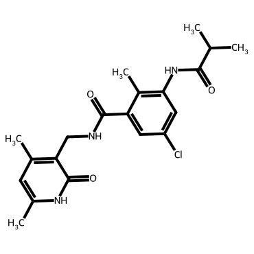 Cc1cc(C)c(CNC(=O)c2cc(Cl)cc(NC(=O)C(C)C)c2C)c(=O)[nH]1